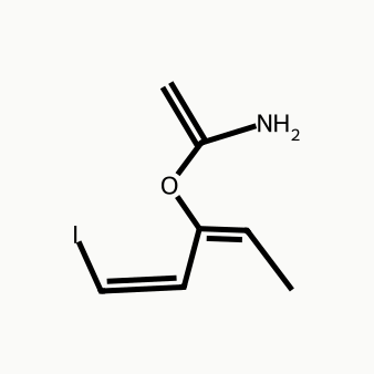 C=C(N)OC(/C=C\I)=C/C